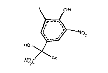 CCCCC(C(C)=O)(C(=O)O)c1cc(I)c(O)c([N+](=O)[O-])c1